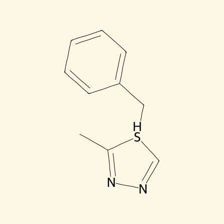 CC1=NN=C[SH]1Cc1ccccc1